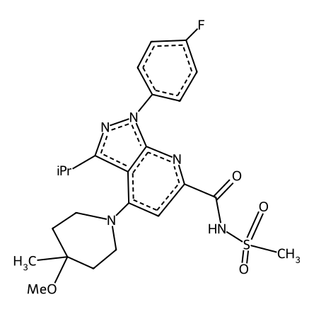 COC1(C)CCN(c2cc(C(=O)NS(C)(=O)=O)nc3c2c(C(C)C)nn3-c2ccc(F)cc2)CC1